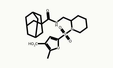 Cc1oc(S(=O)(=O)N2CCCCC2CNC(=O)C23CC4CC(CC(C4)C2)C3)cc1C(=O)O